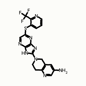 Nc1cnc2c(c1)CN(c1nc3nc(Sc4cccnc4C(F)(F)F)cnc3[nH]1)CC2